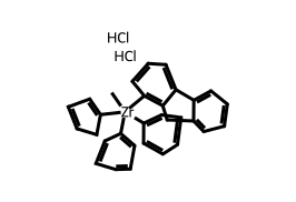 Cl.Cl.[CH3][Zr]([C]1=CC=CC1)([c]1ccccc1)([c]1ccccc1)[c]1cccc2c1Cc1ccccc1-2